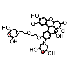 O=C(O)CN(CCOCCOc1cc(-c2c3cc(Cl)c(=O)cc-3oc3cc(O)c(Cl)cc23)c(C(=O)O)cc1N(CC(=O)O)CC(=O)O)CC(=O)O